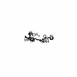 Cn1nccc1-c1c(C2CC2)[nH]c2nnc(CCCCn3cc(C(=O)NCc4ccccn4)nn3)cc12